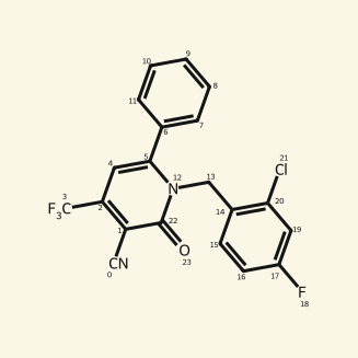 N#Cc1c(C(F)(F)F)cc(-c2ccccc2)n(Cc2ccc(F)cc2Cl)c1=O